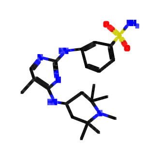 Cc1cnc(Nc2cccc(S(N)(=O)=O)c2)nc1NC1CC(C)(C)N(C)C(C)(C)C1